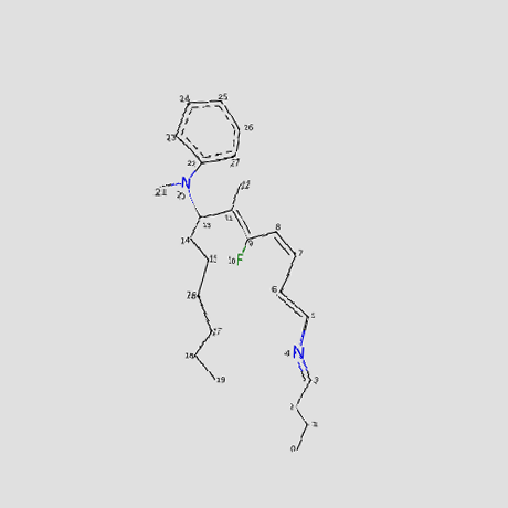 CCC/C=N/C=C/C=C\C(F)=C(/C)C(CCCCCC)N(C)c1ccccc1